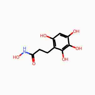 O=C(CCc1c(O)cc(O)c(O)c1O)NO